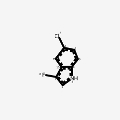 Fc1[c][nH]c2ccc(Cl)cc12